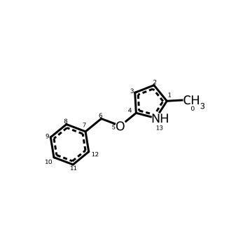 Cc1ccc(OCc2ccccc2)[nH]1